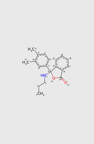 CCCNC1(c2ccc(C)c(C)c2)OC(=O)c2ccccc21